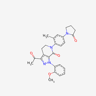 COc1ccccc1-n1nc(C(C)=O)c2c1C(=O)N(c1ccc(N3CCCC3=O)cc1C)CC2